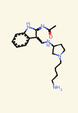 CC(=O)/N=C1/Nc2ccccc2/C1=C/NC1CCN(CCCCN)C1